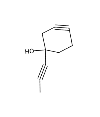 CC#CC1(O)CC#CCC1